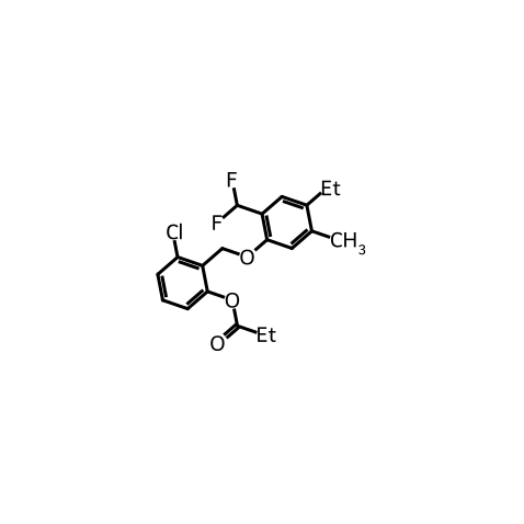 CCC(=O)Oc1cccc(Cl)c1COc1cc(C)c(CC)cc1C(F)F